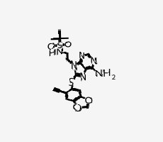 C#Cc1cc2c(cc1Sc1nc3c(N)ncnc3n1CCNS(=O)(=O)C(C)(C)C)OCO2